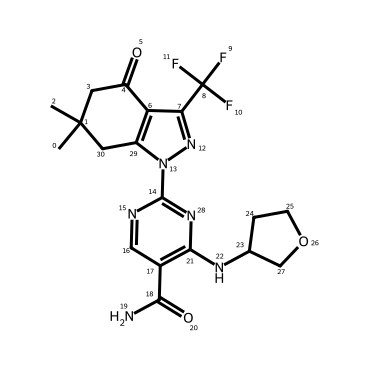 CC1(C)CC(=O)c2c(C(F)(F)F)nn(-c3ncc(C(N)=O)c(NC4CCOC4)n3)c2C1